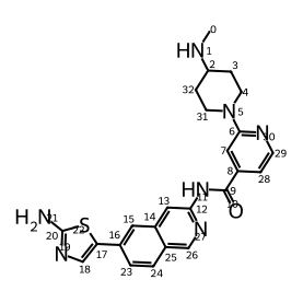 CNC1CCN(c2cc(C(=O)Nc3cc4cc(-c5cnc(N)s5)ccc4cn3)ccn2)CC1